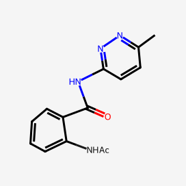 CC(=O)Nc1ccccc1C(=O)Nc1ccc(C)nn1